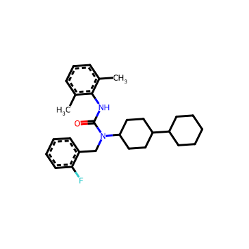 Cc1cccc(C)c1NC(=O)N(Cc1ccccc1F)C1CCC(C2CCCCC2)CC1